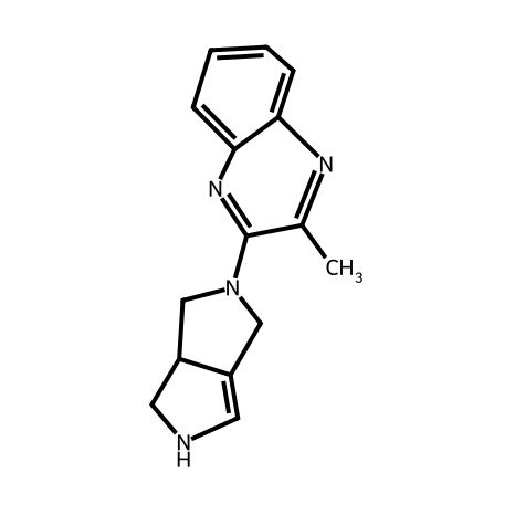 Cc1nc2ccccc2nc1N1CC2=CNCC2C1